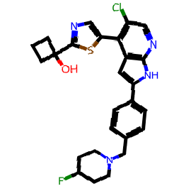 OC1(c2ncc(-c3c(Cl)cnc4[nH]c(-c5ccc(CN6CCC(F)CC6)cc5)cc34)s2)CCC1